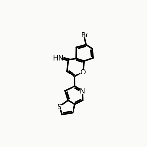 N=c1cc(-c2cc3sccc3cn2)oc2ccc(Br)cc12